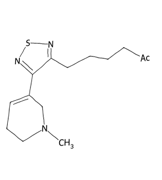 CC(=O)CCCCc1nsnc1C1=CCCN(C)C1